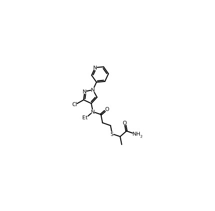 CCN(C(=O)CCSC(C)C(N)=O)c1cn(-c2cccnc2)nc1Cl